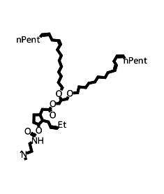 CC/C=C\CC1C(CC(=O)OCC(COCCCCCCCC/C=C\C/C=C\CCCCC)OCCCCCCCC/C=C\C/C=C\CCCCC)CCC1OC(=O)NCCN(C)C